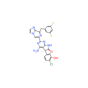 C[C@@]1(c2ccc(Cl)c(O)c2)C(=O)Nc2nc(-c3cn4ccnc4c(Cc4cc(F)cc(F)c4)n3)nc(N)c21